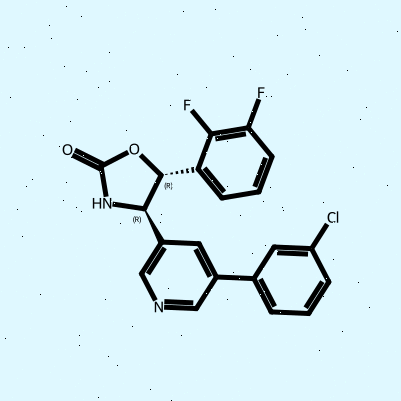 O=C1N[C@H](c2cncc(-c3cccc(Cl)c3)c2)[C@@H](c2cccc(F)c2F)O1